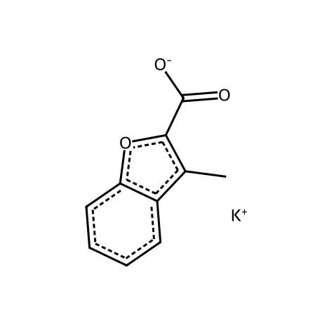 Cc1c(C(=O)[O-])oc2ccccc12.[K+]